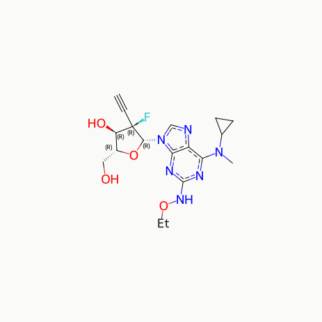 C#C[C@@]1(F)[C@H](O)[C@@H](CO)O[C@H]1n1cnc2c(N(C)C3CC3)nc(NOCC)nc21